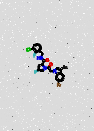 CC(=O)c1cn(CC(=O)N2CC(F)CC2C(=O)NCc2cccc(Cl)c2F)c2cc(Br)ccc12